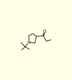 CCC(=O)C1CCN(C(C)(C)C)C1